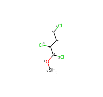 [SiH3]OC(Cl)C(Cl)CCCl